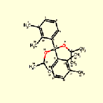 Cc1cccc([Si](OC(C)C)(OC(C)C)c2cccc(C)c2C)c1C